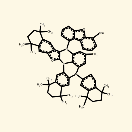 Cc1cc2c3c(c1)N(c1cccc4oc5c(C(C)(C)C)cccc5c14)c1c(oc4cc5c(cc14)C(C)(C)CCC5(C)C)B3c1cc3c(cc1N2c1ccc2c(c1)C(C)(C)CCC2(C)C)C(C)(C)CCC3(C)C